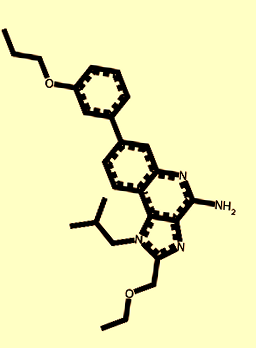 CCCOc1cccc(-c2ccc3c(c2)nc(N)c2nc(COCC)n(CC(C)C)c23)c1